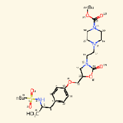 CCCCS(=O)(=O)NC(Cc1ccc(OCC2CN(CCN3CCN(C(=O)OC(C)(C)C)CC3)C(=O)O2)cc1)C(=O)O